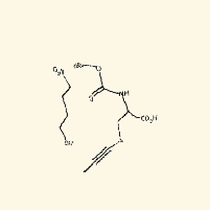 CC#CSCC(NC(=O)OC(C)(C)C)C(=O)O.O=[N+]([O-])CCCCO